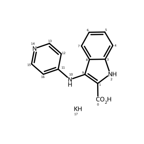 O=C(O)c1[nH]c2ccccc2c1Nc1ccncc1.[KH]